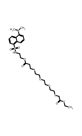 CCOC(=O)CSCCOCCOCCSCCC(=O)OCCNS(=O)(=O)c1cccc2c(N(C)C)cccc12